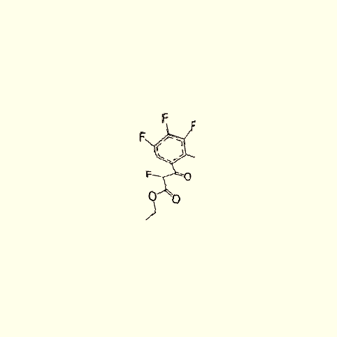 CCOC(=O)C(F)C(=O)c1cc(F)c(F)c(F)c1C